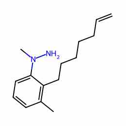 C=CCCCCCc1c(C)cccc1N(C)N